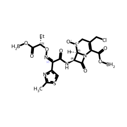 BOC(=O)C1=C(CCl)C[S+]([O-])[C@@H]2[C@H](NC(=O)/C(=N\O[C@@H](CC)C(=O)OB)c3csc(C)n3)C(=O)N12